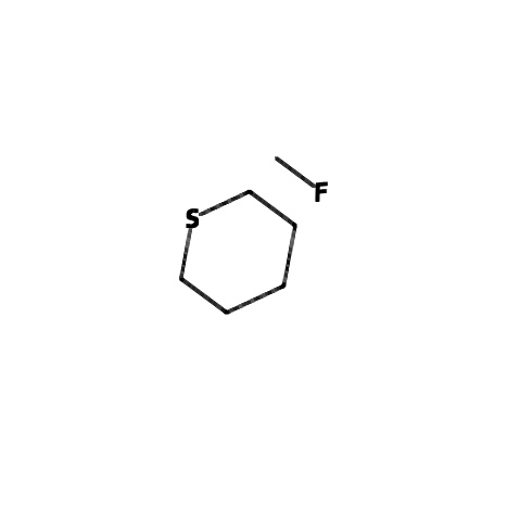 C1CCSCC1.CF